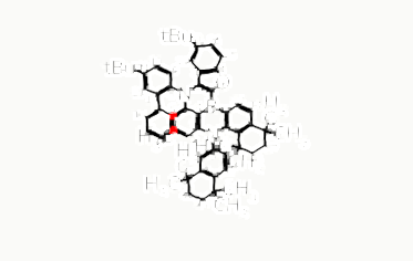 Cc1cc2c3c(c1)N(c1ccc(C(C)(C)C)cc1-c1ccccc1)c1c(oc4ccc(C(C)(C)C)cc14)B3c1ccc3c(c1N2c1ccc2c(c1)C(C)(C)CCC2(C)C)C(C)(C)CCC3(C)C